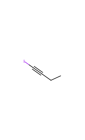 CCC#CI